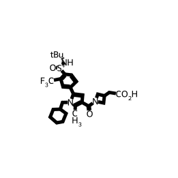 Cc1c(C(=O)N2CC(CC(=O)O)C2)cc(-c2ccc([S+]([O-])NC(C)(C)C)c(C(F)(F)F)c2)n1CC1CCCCC1